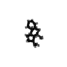 Nc1noc2c1c(Cl)nc1ccccc12